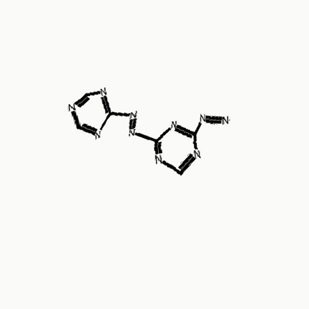 [N]=Nc1ncnc(N=Nc2ncncn2)n1